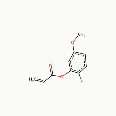 C=CC(=O)Oc1cc(OC)ccc1F